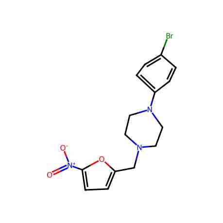 O=[N+]([O-])c1ccc(CN2CCN(c3ccc(Br)cc3)CC2)o1